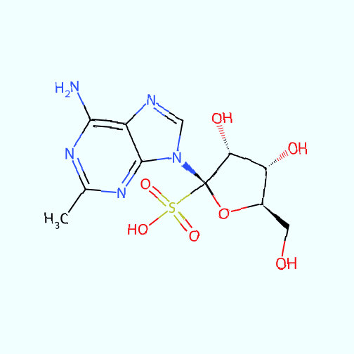 Cc1nc(N)c2ncn([C@]3(S(=O)(=O)O)O[C@H](CO)[C@@H](O)[C@H]3O)c2n1